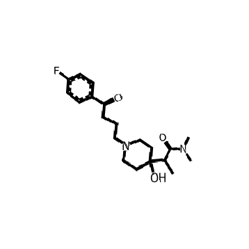 CC(C(=O)N(C)C)C1(O)CCN(CCCC(=O)c2ccc(F)cc2)CC1